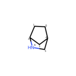 [CH]1CC2CC1CN2